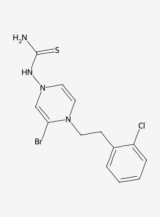 NC(=S)NN1C=CN(CCc2ccccc2Cl)C(Br)=C1